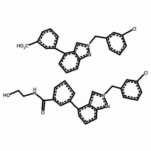 O=C(NCCO)c1cccc(-c2cccc3nn(Cc4cccc(Cl)c4)cc23)c1.O=C(O)c1cccc(-c2cccc3nn(Cc4cccc(Cl)c4)cc23)c1